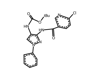 CC(C)(C)OC(=O)Nc1cn(-c2ccccc2)nc1NC(=O)c1ccc(Cl)nc1